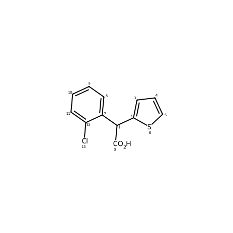 O=C(O)[C](c1cccs1)c1ccccc1Cl